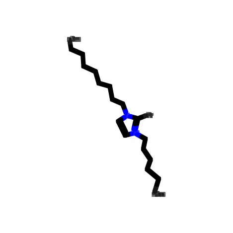 CCCCCCCCCCCCCCCCCCn1cc[n+](CCCCCCCCCCCCCCC)c1C(C)C